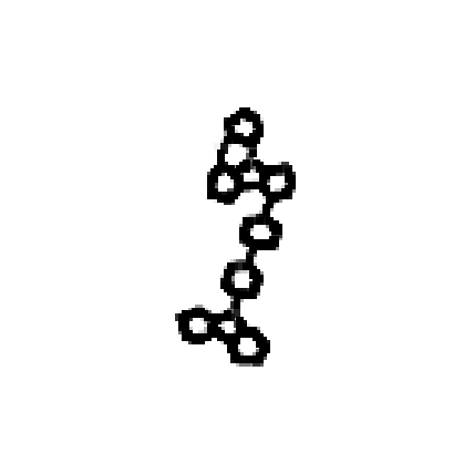 c1ccc2c(c1)Oc1cccc3c4c(-c5ccc(-c6ccc(-n7c8ccccc8c8ccccc87)cc6)cc5)cccc4n-2c13